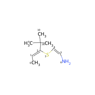 C/C=C(\S/C=C\N)C(C)(C)C